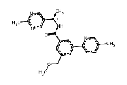 COCc1cc(C(=O)N[C@H](C)c2cnc(C)nc2)cc(-c2ccc(C)cn2)c1